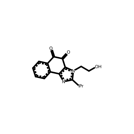 CC(C)c1nc2c(n1CCO)C(=O)C(=O)c1ccccc1-2